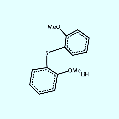 COc1ccccc1Sc1ccccc1OC.[LiH]